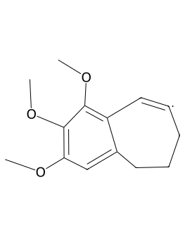 COc1cc2c(c(OC)c1OC)C=[C]CCC2